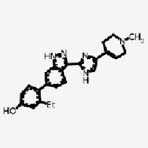 CCc1cc(O)ccc1-c1ccc2c(-c3nc(C4=CCN(C)CC4)c[nH]3)n[nH]c2c1